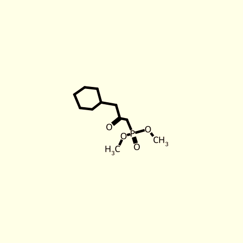 COP(=O)(CC(=O)CC1CCCCC1)OC